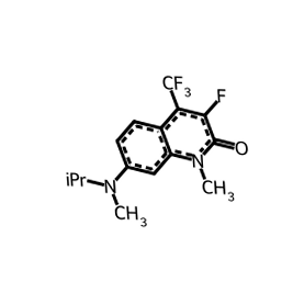 CC(C)N(C)c1ccc2c(C(F)(F)F)c(F)c(=O)n(C)c2c1